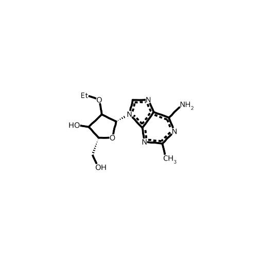 CCOC1C(O)[C@@H](CO)O[C@H]1n1cnc2c(N)nc(C)nc21